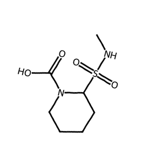 CNS(=O)(=O)C1CCCCN1C(=O)O